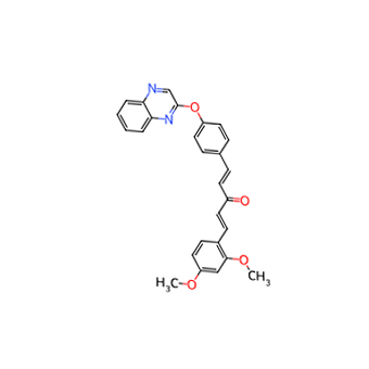 COc1ccc(C=CC(=O)C=Cc2ccc(Oc3cnc4ccccc4n3)cc2)c(OC)c1